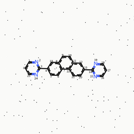 c1cnc(-c2ccc3c(ccc4cc(-c5ncccn5)ccc43)c2)nc1